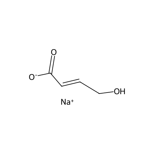 O=C([O-])C=CCO.[Na+]